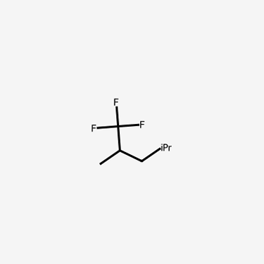 CC(C)CC(C)C(F)(F)F